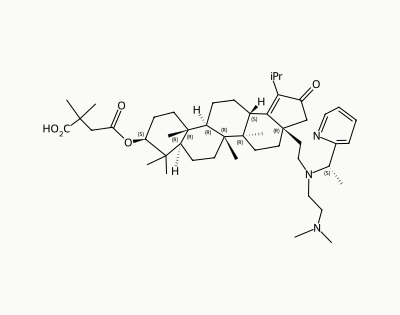 CC(C)C1=C2[C@H]3CC[C@@H]4[C@@]5(C)CC[C@H](OC(=O)CC(C)(C)C(=O)O)C(C)(C)[C@@H]5CC[C@@]4(C)[C@]3(C)CC[C@@]2(CCN(CCN(C)C)[C@@H](C)c2ccccn2)CC1=O